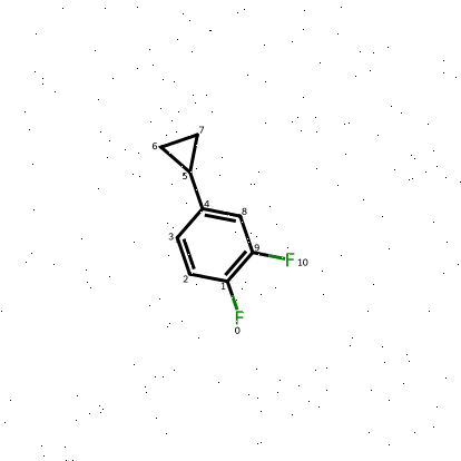 Fc1c[c]c(C2CC2)cc1F